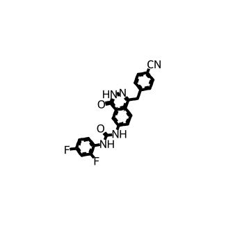 N#Cc1ccc(Cc2n[nH]c(=O)c3cc(NC(=O)Nc4ccc(F)cc4F)ccc23)cc1